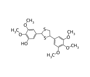 COc1cc(C2SCC(c3cc(OC)c(OC)c(OC)c3)S2)cc(O)c1OC